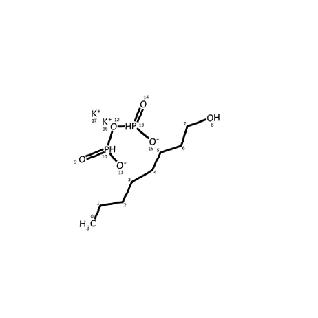 CCCCCCCCO.O=[PH]([O-])O[PH](=O)[O-].[K+].[K+]